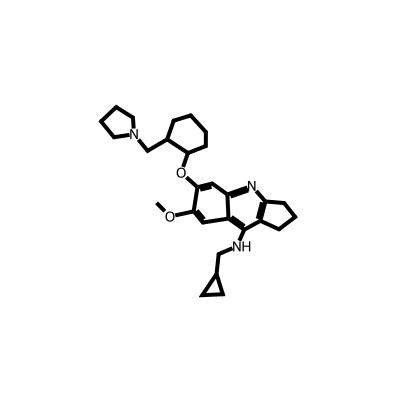 COc1cc2c(NCC3CC3)c3c(nc2cc1OC1CCCCC1CN1CCCC1)CCC3